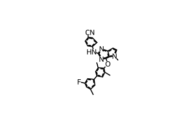 Cc1cc(F)cc(-c2cc(C)c(Oc3nc(Nc4ccc(C#N)cc4)nc4ccn(C)c34)c(C)c2)c1